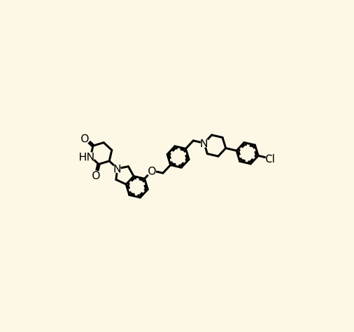 O=C1CCC(N2Cc3cccc(OCc4ccc(CN5CCC(c6ccc(Cl)cc6)CC5)cc4)c3C2)C(=O)N1